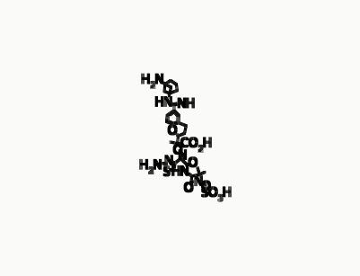 CC(ON=C(C(=O)NC1C(=O)N(OS(=O)(=O)O)C1(C)C)c1csc(N)n1)(C(=O)O)C1CCc2cc(C(=N)NC34CCCC(N)(C3)C4)ccc2O1